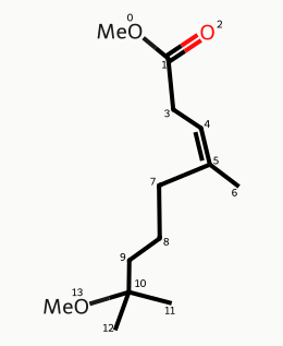 COC(=O)CC=C(C)CCCC(C)(C)OC